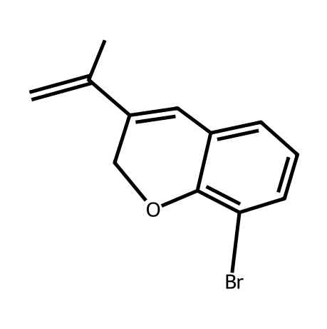 C=C(C)C1=Cc2cccc(Br)c2OC1